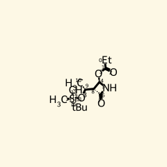 CCC(=O)O[C@H]1NC(=O)[C@@H]1[C@@H](C)O[Si](C)(C)C(C)(C)C